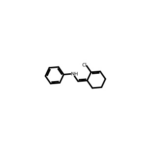 ClC1=CCCCC1=CNc1ccccc1